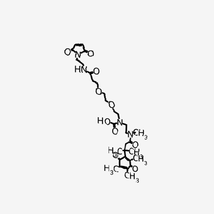 CC1=C(C)C(=O)C(C(C)(C)CC(=O)N(C)CCN(CCOCCOCCC(=O)NCCN2C(=O)C=CC2=O)C(=O)O)=C(C)C1=O